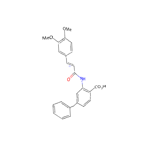 COc1ccc(/C=C/C(=O)Nc2cc(-c3ccccc3)ccc2C(=O)O)cc1OC